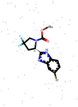 CC(C)(C)OC(=O)N1CC(F)(F)C[C@H]1c1nc2cc(Br)ccc2[nH]1